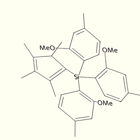 COc1cc(C)ccc1[Si](C1=C(C)C(C)=C(C)C1C)(c1ccc(C)cc1OC)c1ccc(C)cc1OC